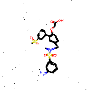 CN(Cc1ccc(OCC(=O)O)c(-c2cccc(S(C)(=O)=O)c2)c1)S(=O)(=O)c1cccc(N)c1